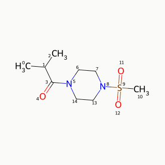 CC(C)C(=O)N1CCN(S(C)(=O)=O)CC1